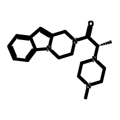 C[C@@H](C(=O)N1CCn2c(cc3ccccc32)C1)N1CCN(C)CC1